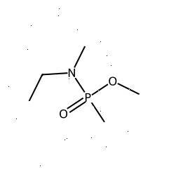 CCN(C)P(C)(=O)OC